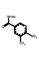 CC(=O)NC(=O)c1cnc([N+](=O)[O-])c(C)c1